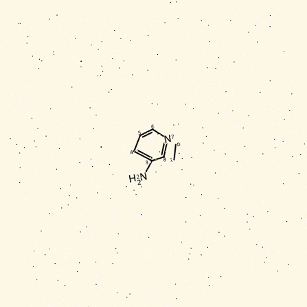 CC.Nc1cccnc1